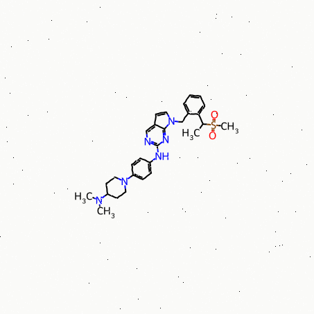 CC(c1ccccc1Cn1ccc2cnc(Nc3ccc(N4CCC(N(C)C)CC4)cc3)nc21)S(C)(=O)=O